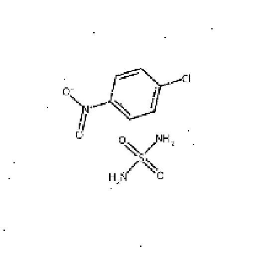 NS(N)(=O)=O.O=[N+]([O-])c1ccc(Cl)cc1